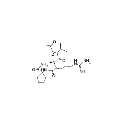 CC(=O)N[C@H](C(=O)N[C@@H](CCCNC(=N)N)C(=O)NC1(C(N)=O)CCCC1)C(C)C